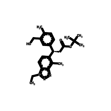 CCn1nnc2c(C)c([C@@H](CC(=O)OC(C)(C)C)c3ccc(C)c(CO)c3)ccc21